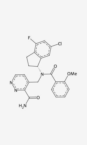 COc1ccccc1C(=O)N(Cc1ccnnc1C(N)=O)[C@@H]1CCc2c(F)cc(Cl)cc21